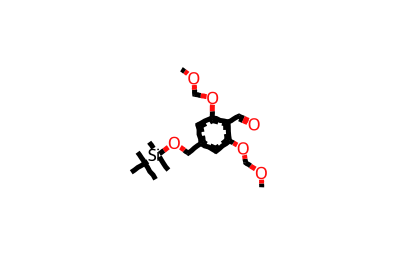 COCOc1cc(CO[Si](C)(C)C(C)(C)C)cc(OCOC)c1C=O